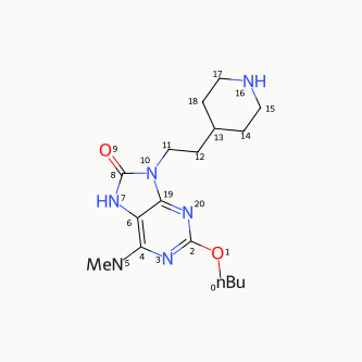 CCCCOc1nc(NC)c2[nH]c(=O)n(CCC3CCNCC3)c2n1